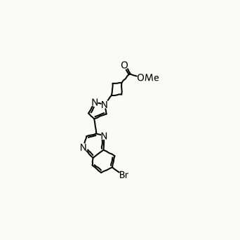 COC(=O)C1CC(n2cc(-c3cnc4ccc(Br)cc4n3)cn2)C1